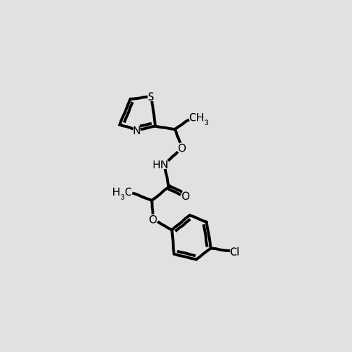 CC(Oc1ccc(Cl)cc1)C(=O)NOC(C)c1nccs1